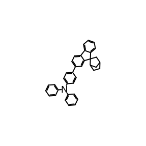 c1ccc(N(c2ccccc2)c2ccc(-c3ccc4c(c3)C3(CC5CCC3C5)c3ccccc3-4)cc2)cc1